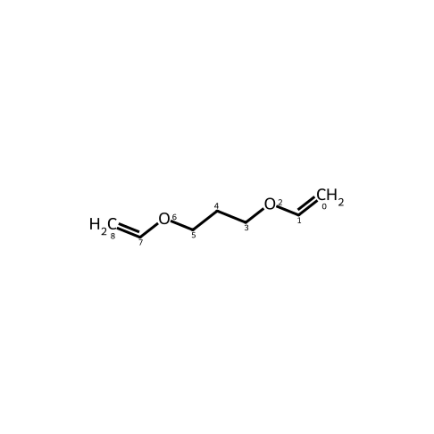 C=COCCCOC=C